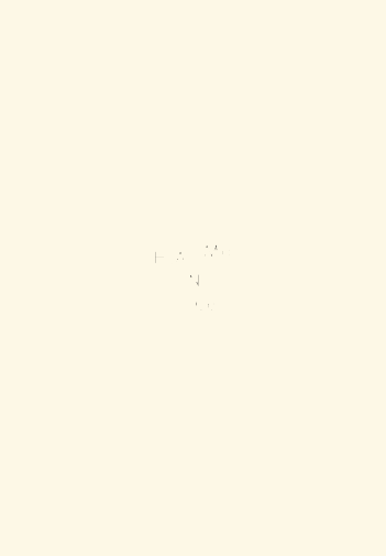 [AlH3].[Ce].[Mo].[Ni]